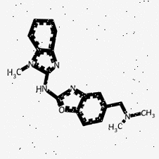 CN(C)Cc1ccc2oc(Nc3nc4ccccc4n3C)nc2c1